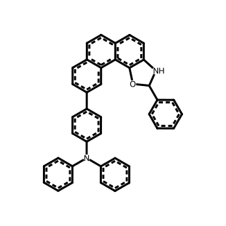 c1ccc(C2Nc3ccc4ccc5ccc(-c6ccc(N(c7ccccc7)c7ccccc7)cc6)cc5c4c3O2)cc1